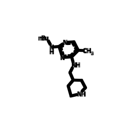 CCCCNc1ncc(C)c(NCC2CCNCC2)n1